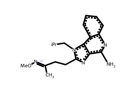 CO/N=C(\C)CCc1nc2c(N)nc3ccccc3c2n1CC(C)C